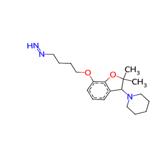 CC1(C)Oc2c(OCCCCN=N)cccc2C1N1CCCCC1